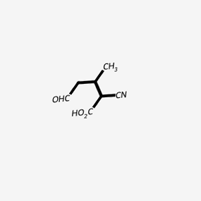 CC(CC=O)C(C#N)C(=O)O